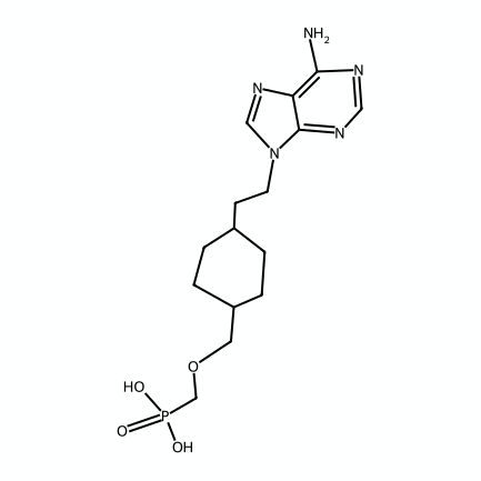 Nc1ncnc2c1ncn2CCC1CCC(COCP(=O)(O)O)CC1